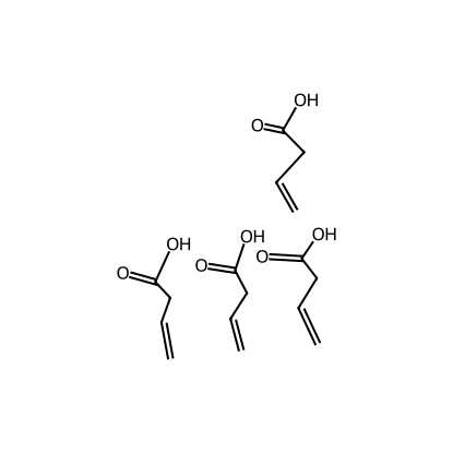 C=CCC(=O)O.C=CCC(=O)O.C=CCC(=O)O.C=CCC(=O)O